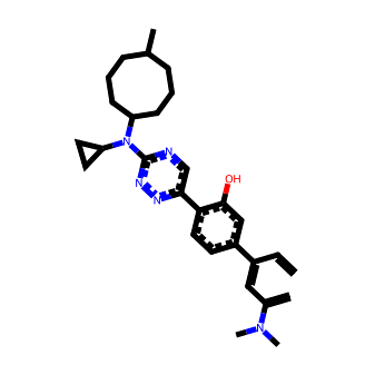 C=C/C(=C\C(=C)N(C)C)c1ccc(-c2cnc(N(C3CCCC(C)CCC3)C3CC3)nn2)c(O)c1